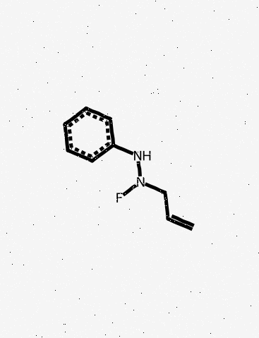 C=CCN(F)Nc1ccccc1